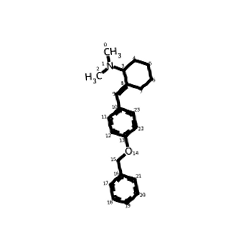 CN(C)C1CCCC/C1=C\c1ccc(OCc2ccccc2)cc1